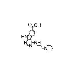 O=C(O)c1ccc2c(c1)[nH]c1ncnc(NCCCN3CCCCC3)c12